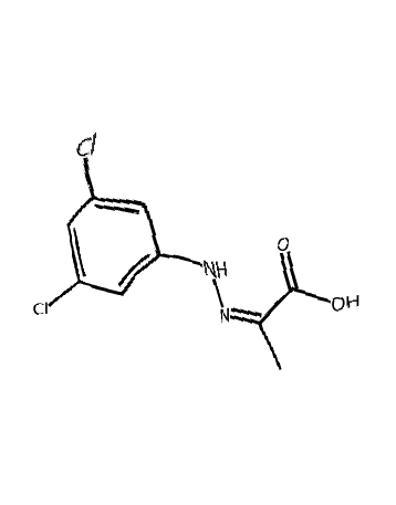 CC(=NNc1cc(Cl)cc(Cl)c1)C(=O)O